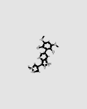 COc1cc(OC)c(Cl)c(-c2cnc3c(-c4cnn(C)c4)n[nH]c3c2)c1Cl